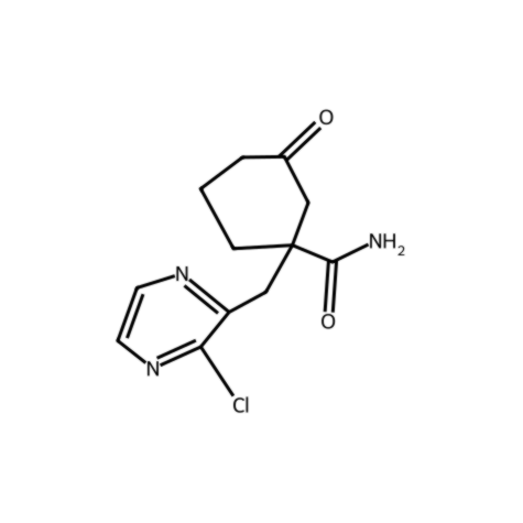 NC(=O)C1(Cc2nccnc2Cl)CCCC(=O)C1